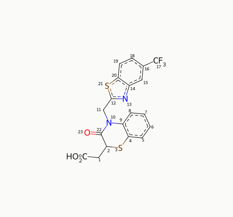 O=C(O)CC1Sc2ccccc2N(Cc2nc3cc(C(F)(F)F)ccc3s2)C1=O